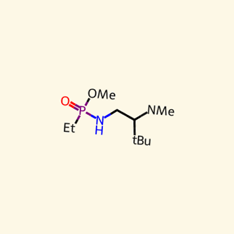 CCP(=O)(NCC(NC)C(C)(C)C)OC